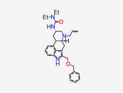 C=CCN1C[C@@H](NC(=O)N(CC)CC)CC2c3cccc4[nH]c(COCc5ccccc5)c(c34)C[C@H]21